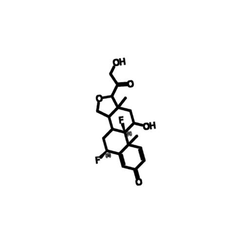 CC12CC(O)[C@@]3(F)C(C[C@H](F)C4=CC(=O)C=CC43C)C1COC2C(=O)CO